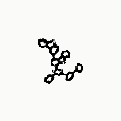 c1ccc(-c2cc(-c3cccc(-c4ccccn4)c3)nc(-c3ccc(-c4ccc5oc6ccccc6c5c4)c4c3oc3ccccc34)n2)cc1